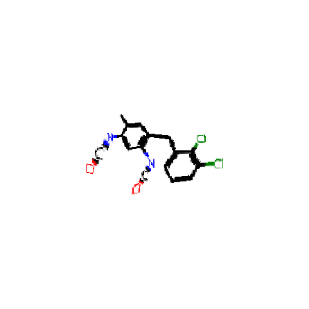 Cc1cc(Cc2cccc(Cl)c2Cl)c(N=C=O)cc1N=C=O